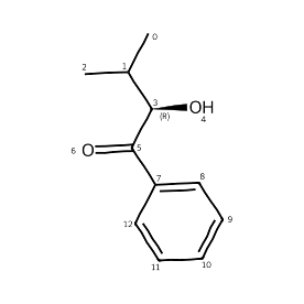 CC(C)[C@@H](O)C(=O)c1ccccc1